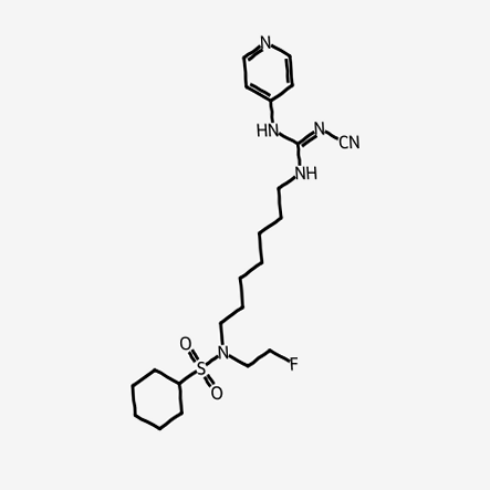 N#C/N=C(\NCCCCCCCN(CCF)S(=O)(=O)C1CCCCC1)Nc1ccncc1